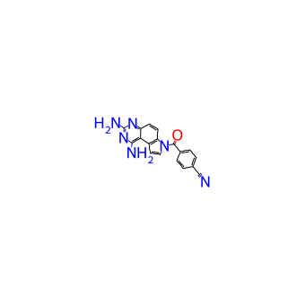 N#Cc1ccc(C(=O)n2ccc3c4c(N)nc(N)nc4ccc32)cc1